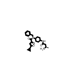 C[C@@H](N)CC(=O)NC1CCC(N(Cc2ccccc2)C(=O)c2cc(C3CC3)on2)CC1